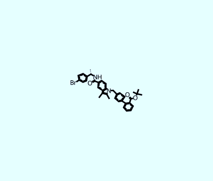 Cc1c(C)n(Cc2ccc(-c3ccccc3C(=O)OC(C)(C)C)cc2)c2ccc(C(=O)N[C@@H](C)c3ccc(Br)cc3)cc12